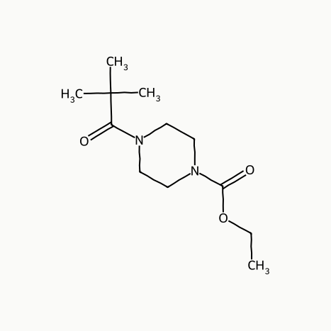 CCOC(=O)N1CCN(C(=O)C(C)(C)C)CC1